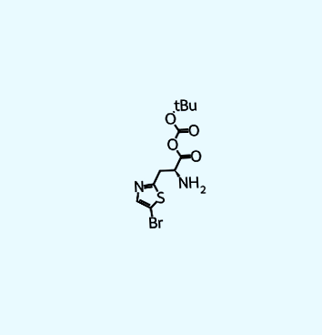 CC(C)(C)OC(=O)OC(=O)[C@@H](N)Cc1ncc(Br)s1